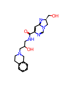 O=C(NCC(O)CN1CCc2ccccc2C1)C1=CC2=N[C@@H](CO)CN2C=N1